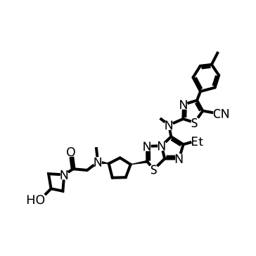 CCc1nc2sc([C@H]3CC[C@@H](N(C)CC(=O)N4CC(O)C4)C3)nn2c1N(C)c1nc(-c2ccc(C)cc2)c(C#N)s1